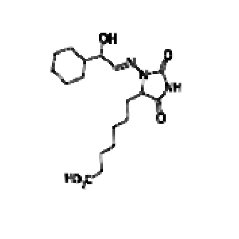 O=C(O)CCCCCCC1C(=O)NC(=O)N1N=CC(O)C1CCCCC1